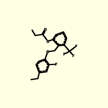 CCC(=O)Oc1cccc(C(F)(F)F)c1COc1ccc(CC)cc1F